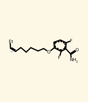 CC/C=C\CCCCCOc1ccc(F)c(C(N)=O)c1F